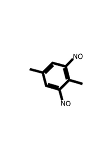 Cc1cc(N=O)c(C)c(N=O)c1